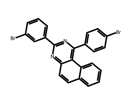 Brc1ccc(-c2nc(-c3cccc(Br)c3)nc3ccc4ccccc4c23)cc1